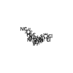 C=CCNC(=S)N(Cc1cccc(Cl)c1Cl)CC(NC(=O)Cc1cncn1Cc1ccc(C#N)cc1)C(C)C